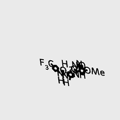 COc1ccc(C(=O)Nc2ccc(NC(=O)Nc3ccc(C(F)(F)F)cc3)c(C)c2)c2c(N)noc12